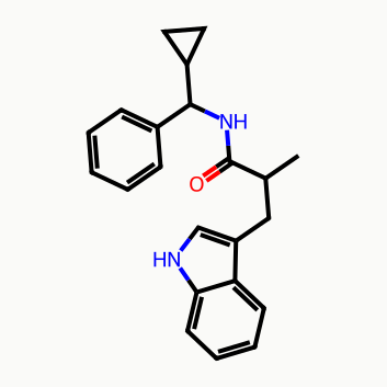 CC(Cc1c[nH]c2ccccc12)C(=O)NC(c1ccccc1)C1CC1